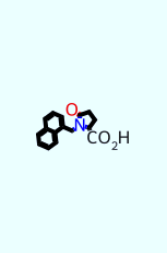 O=C(O)C1CCC(=O)N1Cc1cccc2ccccc12